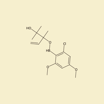 C=CC(C)(OBc1c(Cl)cc(OC)cc1OC)C(C)(C)O